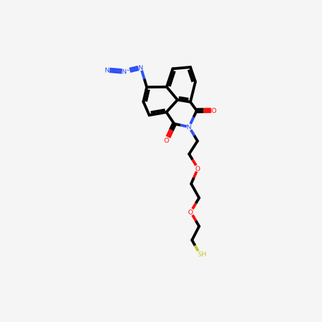 [N-]=[N+]=Nc1ccc2c3c(cccc13)C(=O)N(CCOCCOCCS)C2=O